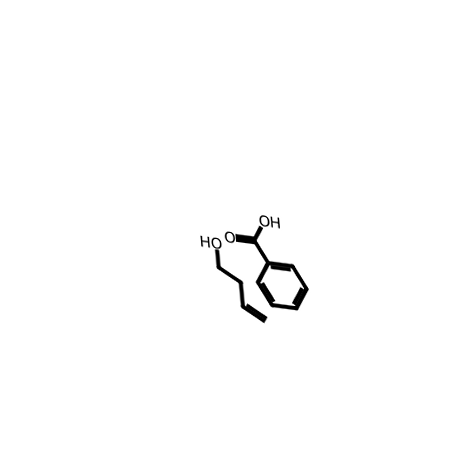 C=CCCO.O=C(O)c1ccccc1